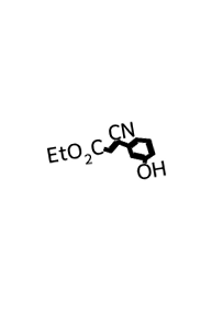 CCOC(=O)C=C(C#N)c1cccc(O)c1